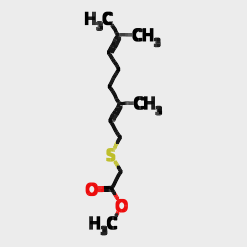 COC(=O)CSC/C=C(\C)CCC=C(C)C